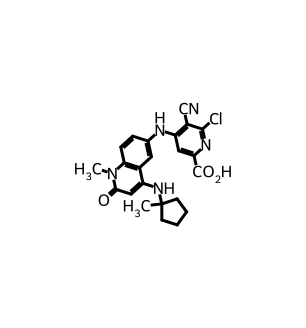 Cn1c(=O)cc(NC2(C)CCCC2)c2cc(Nc3cc(C(=O)O)nc(Cl)c3C#N)ccc21